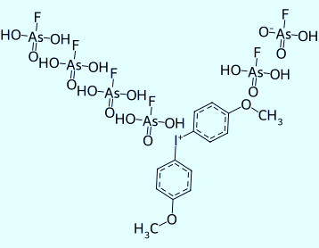 COc1ccc([I+]c2ccc(OC)cc2)cc1.O=[As](O)(O)F.O=[As](O)(O)F.O=[As](O)(O)F.O=[As](O)(O)F.O=[As](O)(O)F.O=[As]([O-])(O)F